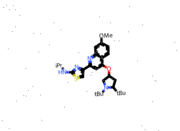 COc1ccc2c(OC3CC(C(C)(C)C)N(C(C)(C)C)C3)cc(-c3csc(NC(C)C)n3)nc2c1